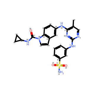 Cc1cnc(Nc2cccc(S(N)(=O)=O)c2)nc1Nc1ccc2c(ccn2C(=O)NC2CC2)c1